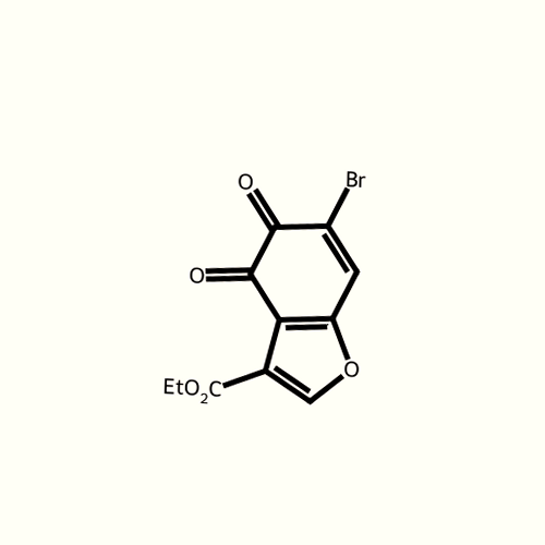 CCOC(=O)c1coc2c1C(=O)C(=O)C(Br)=C2